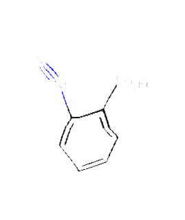 CCOC(=O)c1ccccc1[N+]#N